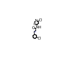 O=C(/C=C/c1cccc(Cl)c1)Nc1cc(Cl)ncn1